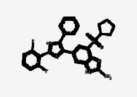 Nc1nc2c(S(=O)(=O)C3CCCC3)cc(-c3nc(-c4c(F)cccc4F)[nH]c3-c3ccccc3)cc2[nH]1